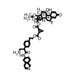 CC1(C)O[C@@H]2C[C@H]3[C@@H]4C[C@H](F)C5=CC(=O)C=C[C@]5(C)[C@@]4(F)[C@@H](O)C[C@]3(C)[C@]2(C(=O)COC(=O)C2CC2C(=O)OCCc2ccc(C(CN)C(=O)Nc3ccc4cnccc4c3)cc2)O1